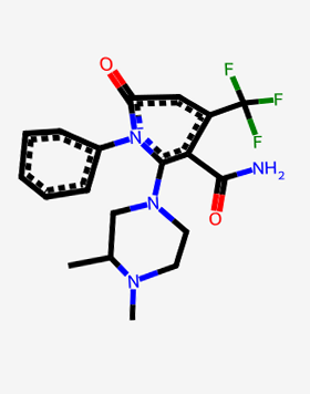 CC1CN(c2c(C(N)=O)c(C(F)(F)F)cc(=O)n2-c2ccccc2)CCN1C